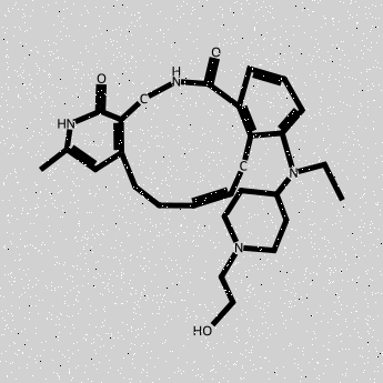 CCN(c1cccc2c1CC=CCCc1cc(C)[nH]c(=O)c1CNC2=O)C1CCN(CCO)CC1